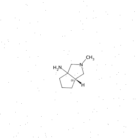 CN1C[C@@H]2CCCC2(N)C1